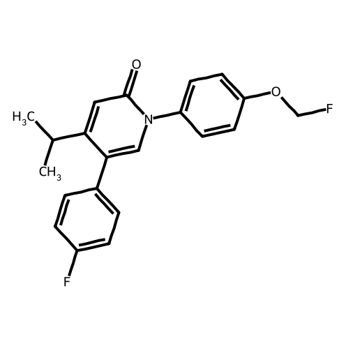 CC(C)c1cc(=O)n(-c2ccc(OCF)cc2)cc1-c1ccc(F)cc1